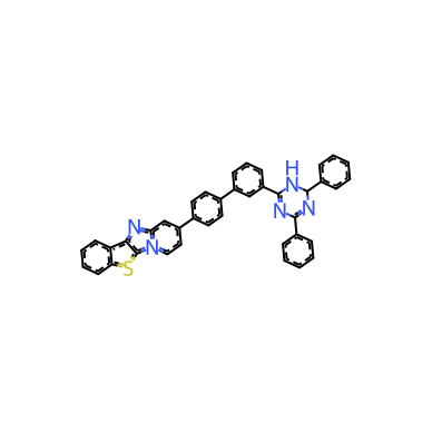 c1ccc(C2=NC(c3ccccc3)NC(c3cccc(-c4ccc(-c5ccn6c(c5)nc5c7ccccc7sc56)cc4)c3)=N2)cc1